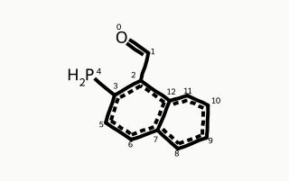 O=Cc1c(P)ccc2ccccc12